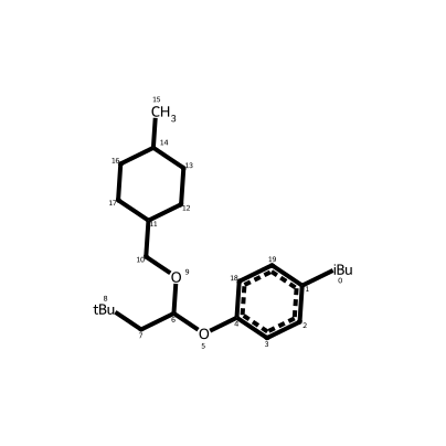 CCC(C)c1ccc(OC(CC(C)(C)C)OCC2CCC(C)CC2)cc1